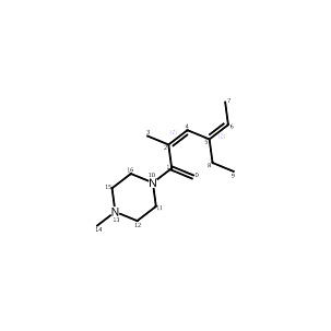 C=C(/C(C)=C\C(=C/C)CC)N1CCN(C)CC1